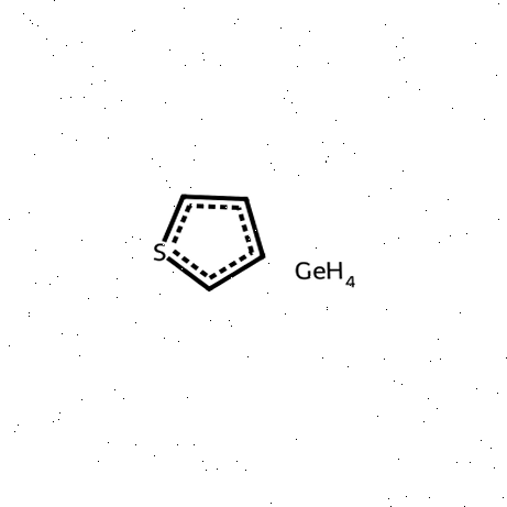 [GeH4].c1ccsc1